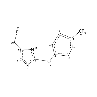 FC(F)(F)c1ccc(Oc2noc(CCl)n2)cc1